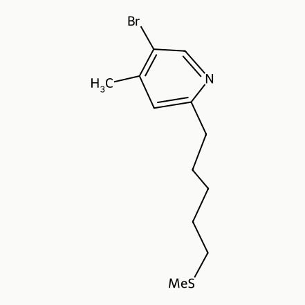 CSCCCCCc1cc(C)c(Br)cn1